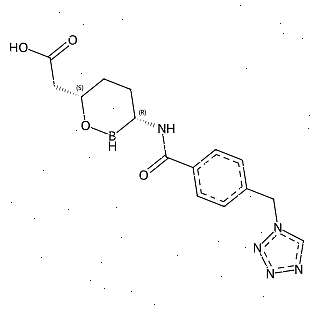 O=C(O)C[C@@H]1CC[C@H](NC(=O)c2ccc(Cn3cnnn3)cc2)BO1